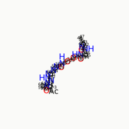 CC(=O)c1c(C)c2cnc(Nc3ccc(N4CCN(CC(=O)NCCOCCOCCC(=O)Nc5ccccc5C(=O)Nc5ccc(C6CC6)cn5)CC4)cn3)nc2n(C2CCCC2)c1=O